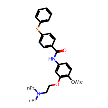 CCCN(CCC)CCOc1cc(NC(=O)c2ccc(Sc3ccccc3)cc2)ccc1OC